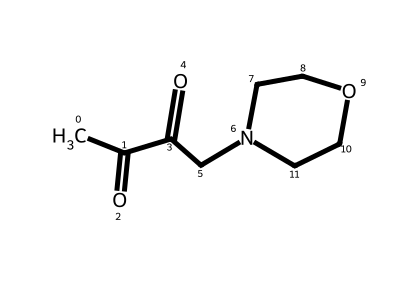 CC(=O)C(=O)CN1CCOCC1